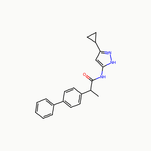 CC(C(=O)Nc1cc(C2CC2)n[nH]1)c1ccc(-c2ccccc2)cc1